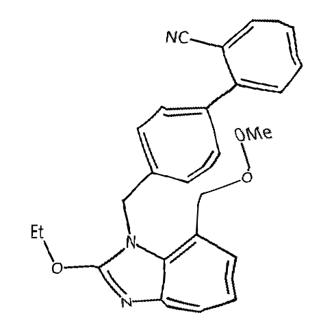 CCOc1nc2cccc(COOC)c2n1Cc1ccc(-c2ccccc2C#N)cc1